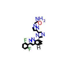 CC1(C)[C@H]2CC[C@]1(c1cncc(-c3ccn(CC(N)=O)n3)n1)c1nnc(-c3c(F)cccc3F)cc12